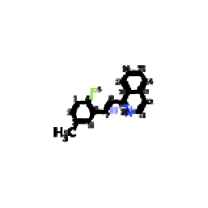 Cc1ccc(F)c(/C=C/c2nccc3ccccc23)c1